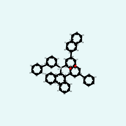 c1ccc(-c2cccc(-c3c(N(c4cccc(-c5ccccc5)c4)c4cccc(-c5ccc6ccccc6c5)c4)c4ccccc4c4ccccc34)c2)cc1